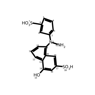 NN(c1cccc(S(=O)(=O)O)c1)c1cccc2c(O)cc(S(=O)(=O)O)cc12